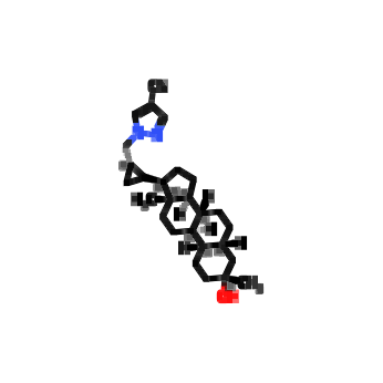 C[C@@]1(O)CC[C@H]2[C@H](CC[C@@H]3[C@@H]2CC[C@]2(C)[C@@H](C4C[C@@H]4Cn4cc(C#N)cn4)CC[C@@H]32)C1